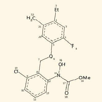 CCc1cc(F)c(OCc2c(Cl)cccc2N(O)C(=O)OC)cc1C